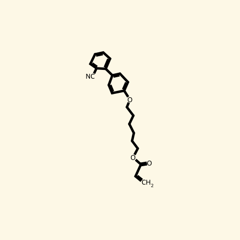 C=CC(=O)OCCCCCCOc1ccc(-c2ccccc2C#N)cc1